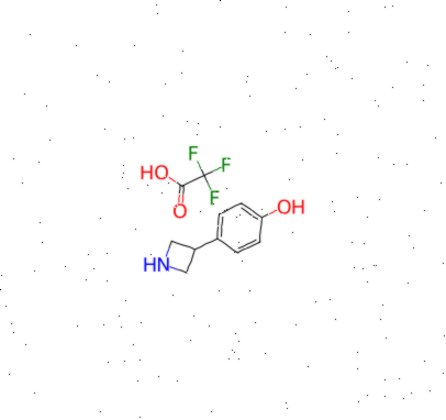 O=C(O)C(F)(F)F.Oc1ccc(C2CNC2)cc1